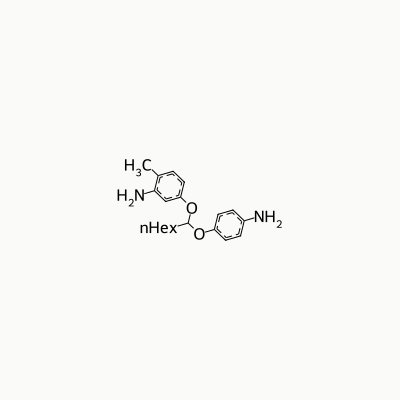 CCCCCCC(Oc1ccc(N)cc1)Oc1ccc(C)c(N)c1